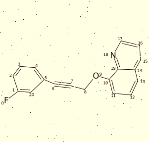 Fc1cccc(C#CCOc2cccc3cccnc23)c1